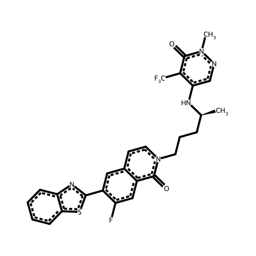 C[C@@H](CCCn1ccc2cc(-c3nc4ccccc4s3)c(F)cc2c1=O)Nc1cnn(C)c(=O)c1C(F)(F)F